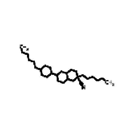 CCCCCCC1CCC(C2CCC3CC(C#N)(CCCCCC)CCC3C2)CC1